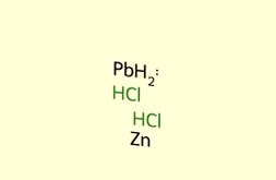 Cl.Cl.[PbH2].[Zn]